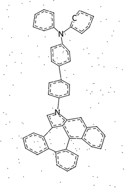 c1ccc(N(c2ccccc2)c2ccc(-c3ccc(-n4cc5c6c(c7ccccc7cc64)-c4ccccc4-c4ccccc4-5)cc3)cc2)cc1